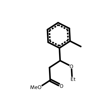 CCOC(CC(=O)OC)c1ccccc1C